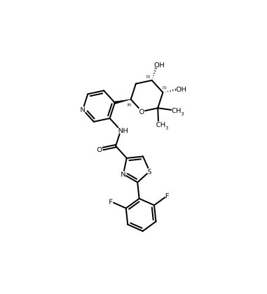 CC1(C)O[C@@H](c2ccncc2NC(=O)c2csc(-c3c(F)cccc3F)n2)C[C@H](O)[C@@H]1O